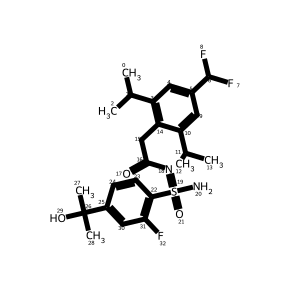 CC(C)c1cc(C(F)F)cc(C(C)C)c1CC(=O)N=S(N)(=O)c1ccc(C(C)(C)O)cc1F